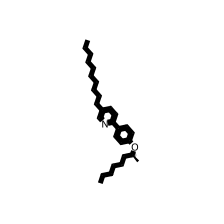 CCCCCCCCCCc1ccc(-c2ccc(O[C@@H](C)CCCCCC)cc2)nc1